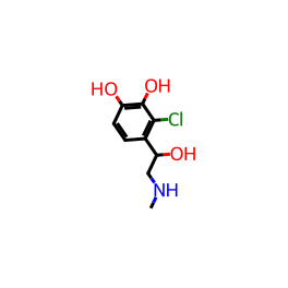 CNCC(O)c1ccc(O)c(O)c1Cl